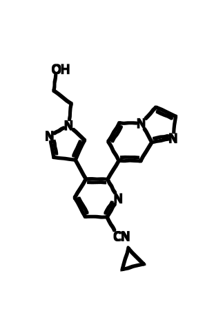 C1CC1.N#Cc1ccc(-c2cnn(CCO)c2)c(-c2ccn3ccnc3c2)n1